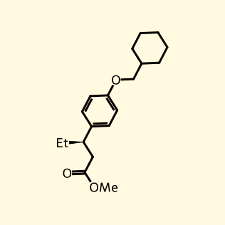 CC[C@H](CC(=O)OC)c1ccc(OCC2CCCCC2)cc1